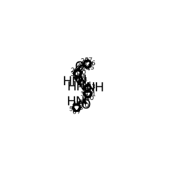 O=C(Nc1ccccc1)c1ccc2[nH]cc(Nc3nc4cc(Oc5ccccc5)ccc4[nH]3)c2c1